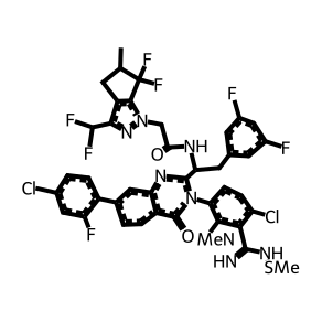 CNc1c(-n2c(C(Cc3cc(F)cc(F)c3)NC(=O)Cn3nc(C(F)F)c4c3C(F)(F)C(C)C4)nc3cc(-c4ccc(Cl)cc4F)ccc3c2=O)ccc(Cl)c1C(=N)NSC